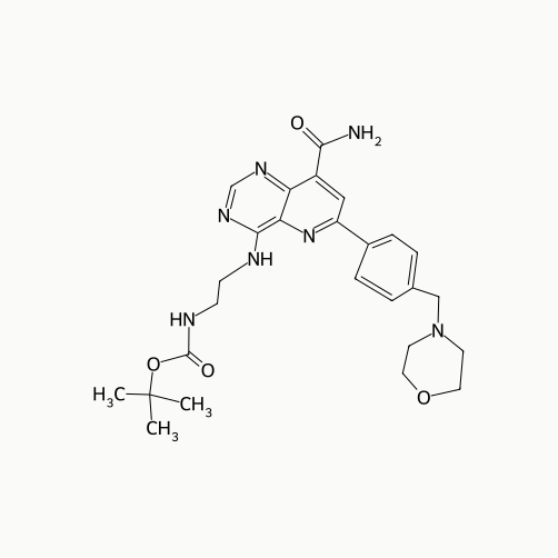 CC(C)(C)OC(=O)NCCNc1ncnc2c(C(N)=O)cc(-c3ccc(CN4CCOCC4)cc3)nc12